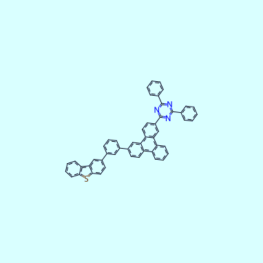 c1ccc(-c2nc(-c3ccccc3)nc(-c3ccc4c5cc(-c6cccc(-c7ccc8sc9ccccc9c8c7)c6)ccc5c5ccccc5c4c3)n2)cc1